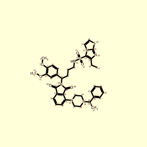 COc1ccc(C(CCCNS(=O)(=O)c2c(CI)nc3sccn23)N2C(=O)c3cccc(N4CCN([C@H](C)c5ccccc5)CC4)c3C2=O)cc1OC